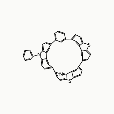 c1ccc(-n2c3ccc4cc3c3cc(ccc32)c2ccc3sc5ccc(cc5c3n2)c2ccc3sc5ccc(cc5c3c2)c2cccc4c2)cc1